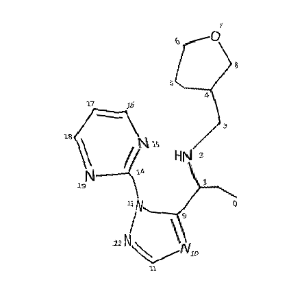 CC(NCC1CCOC1)c1ncnn1-c1ncccn1